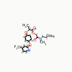 COCCN(C)C(=O)COC(=O)C(C)Oc1ccc(Oc2cc(C(F)(F)F)ccn2)cc1